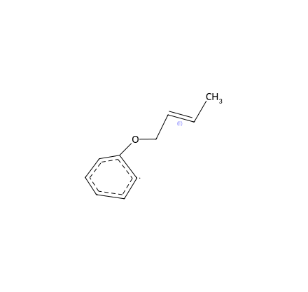 C/C=C/COc1[c]cccc1